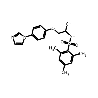 Cc1cc(C)c(S(=O)(=O)NC(C)COc2ccc(-n3ccnc3)cc2)c(C)c1